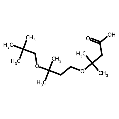 CC(C)(C)COC(C)(C)CCOC(C)(C)CC(=O)O